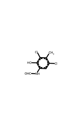 Cc1c(Cl)cc(NC=O)c(O)c1Cl